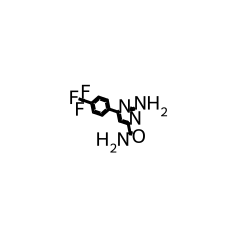 NC(=O)c1cc(-c2ccc(C(F)(F)F)cc2)nc(N)n1